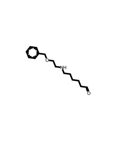 O=CCCCCCNCCOCc1ccccc1